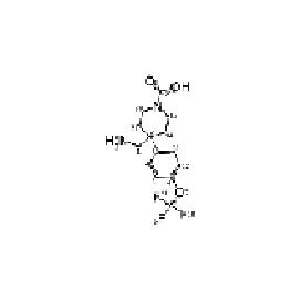 NCC1(c2ccc(OC(F)(F)F)cc2)CCN(C(=O)O)CC1